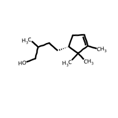 CC1=CC[C@@H](CCC(C)CO)C1(C)C